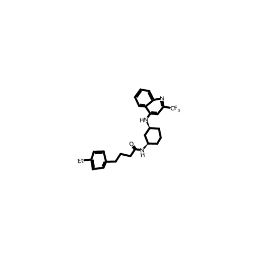 CCc1ccc(CCCC(=O)N[C@@H]2CCC[C@H](Nc3cc(C(F)(F)F)nc4ccccc34)C2)cc1